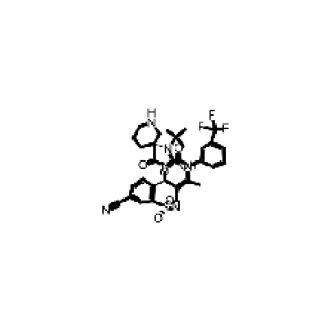 CC1=C(C#N)[C@@H](c2ccc(C#N)cc2S(C)(=O)=O)N(C(=O)[C@@]2(N(C(=O)O)C(C)(C)C)CCCNC2)C(=O)N1c1cccc(C(F)(F)F)c1